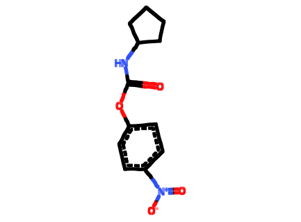 O=C(NC1CCCC1)Oc1ccc([N+](=O)[O-])cc1